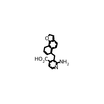 Nc1nccc(C(=O)O)c1CC1=c2ccc3c(c2CC=C1)OCC=3